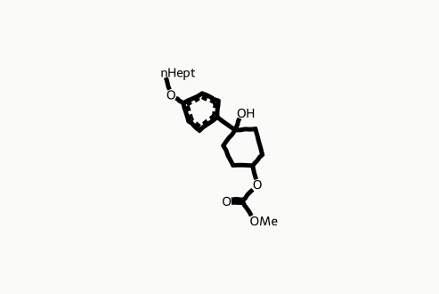 CCCCCCCOc1ccc(C2(O)CCC(OC(=O)OC)CC2)cc1